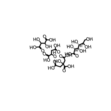 O=C(O)C(O)C(O)C(=O)O.O=C(O)CC(O)(CC(=O)O)C(=O)O.O=C(O)CC(O)C(=O)O.O=C(O)[C@H](O)[C@@H](O)[C@H](O)[C@H](O)CO